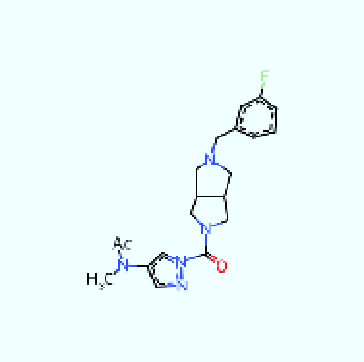 CC(=O)N(C)c1cnn(C(=O)N2CC3CN(Cc4cccc(F)c4)CC3C2)c1